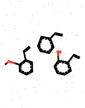 C=Cc1ccccc1.C=Cc1ccccc1O.C=Cc1ccccc1OC